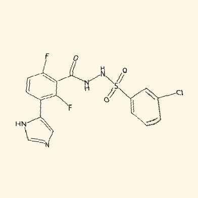 O=C(NNS(=O)(=O)c1cccc(Cl)c1)c1c(F)ccc(-c2cnc[nH]2)c1F